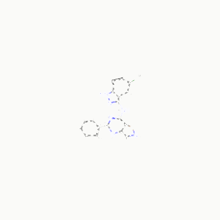 Cc1ccccc1-c1nc(Nc2n[nH]c3ccc(F)cc23)c2sncc2n1